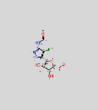 C[C@@]1(O)[C@H](O)[C@@H](CO)O[C@H]1c1[nH]nc(NC=O)c1F